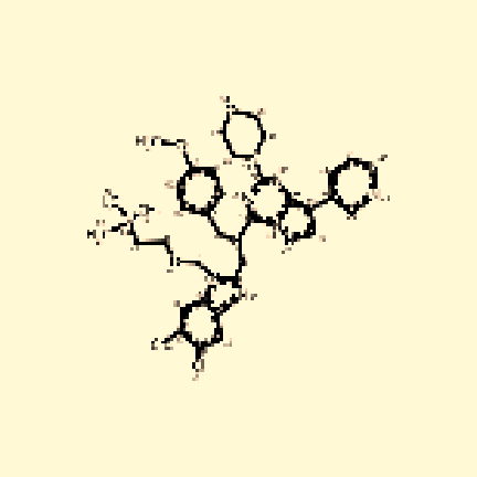 COc1ccc(CN(Cc2nc3cc(Cl)c(Cl)cc3n2COCCS(C)(C)C)c2nc(N3CCOCC3)nc3c(-c4ccnnc4)cnn23)cc1